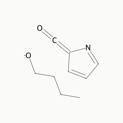 CCCC[O].O=C=C1C=CC=N1